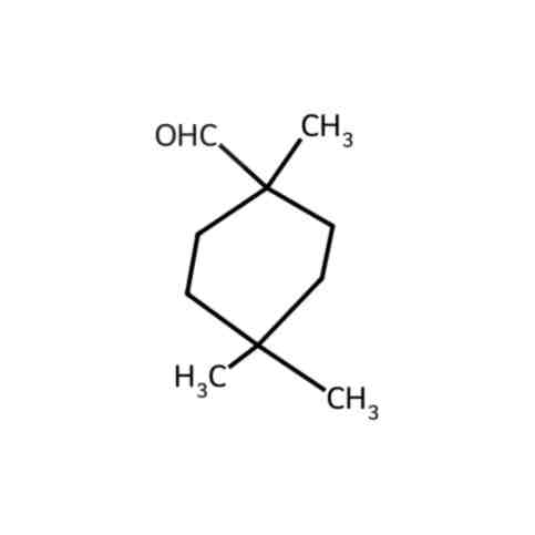 CC1(C)CCC(C)(C=O)CC1